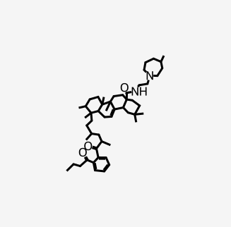 CCCC(=O)c1ccccc1C(=O)C(C)CC(C)CCC1(C)C(C)CCC2(C)C1CC=C1C3CC(C)(C)CCC3(C(=O)NCCN3CCCC(C)CC3)CCC12C